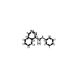 c1ccc(CNc2nncc3ccccc23)cc1